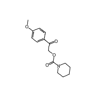 COc1ccc(C(=O)COC(=O)N2CCCCC2)cc1